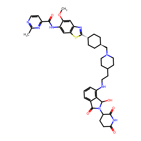 COc1cc2nc([C@H]3CC[C@H](CN4CCC(CCNc5cccc6c5C(O)N(C5CCC(=O)NC5=O)C6=O)CC4)CC3)sc2cc1NC(=O)c1ccnc(C)n1